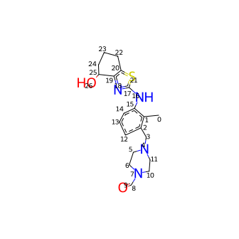 Cc1c(CN2CCN(C=O)CC2)cccc1Nc1nc2c(s1)CCCC2O